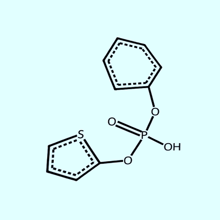 O=P(O)(Oc1ccccc1)Oc1cccs1